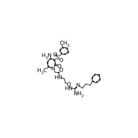 Cc1cccc(S(=O)(=O)c2c(N)cc(C)n(CC(=O)NCCONC(N)=NCCCc3ccccc3)c2=O)c1